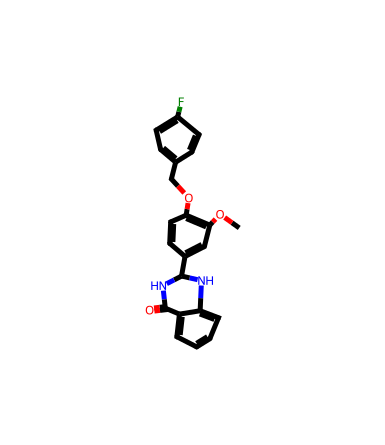 COc1cc(C2NC(=O)c3ccccc3N2)ccc1OCc1ccc(F)cc1